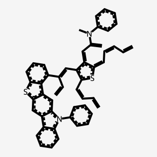 C=C\C=C/C=c1/sc(/C=C\C=C)c(/C=C(\C=C)c2cccc3sc4cc5c6ccccc6n(-c6ccccc6)c5cc4c23)/c1=C/C(=C)N(C)c1ccccc1